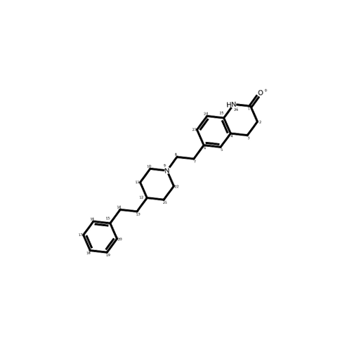 O=C1CCc2cc(CCN3CCC(CCc4ccccc4)CC3)ccc2N1